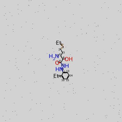 CCSCC[C@@H](N)C(O)C(=O)NNc1ccccc1CC